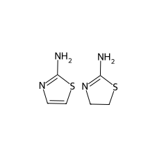 NC1=NCCS1.Nc1nccs1